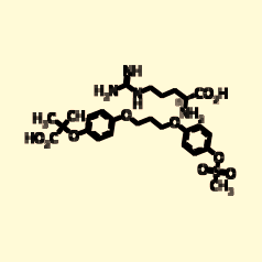 CC(C)(Oc1ccc(OCCCOc2ccc(OS(C)(=O)=O)cc2)cc1)C(=O)O.N=C(N)NCCC[C@H](N)C(=O)O